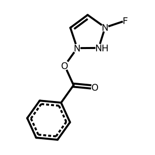 O=C(ON1C=CN(F)N1)c1ccccc1